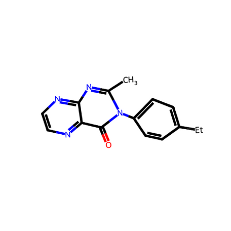 CCc1ccc(-n2c(C)nc3nccnc3c2=O)cc1